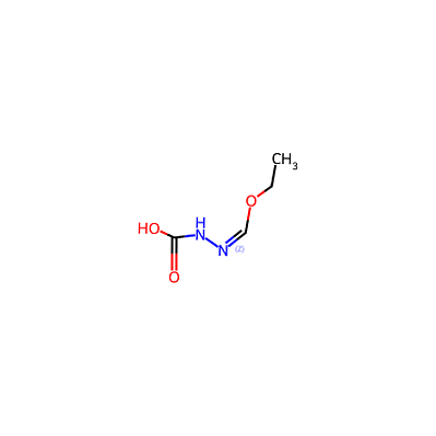 CCO/C=N\NC(=O)O